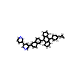 c1cncc(-c2cncc(-c3ccc4cc(-c5c6ccccc6c(-c6ccc(C7CC7)cc6)c6ccccc56)ccc4c3)c2)c1